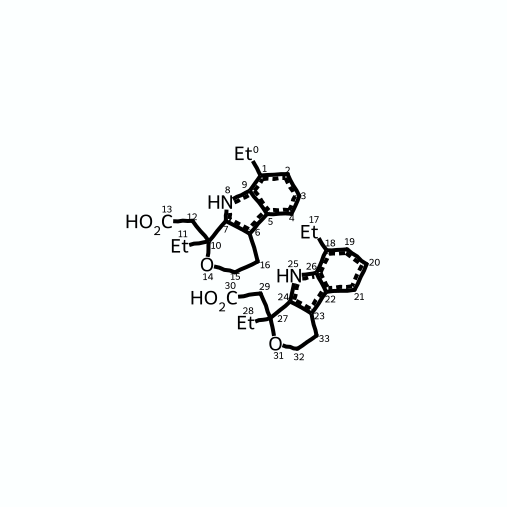 CCc1cccc2c3c([nH]c12)C(CC)(CC(=O)O)OCC3.CCc1cccc2c3c([nH]c12)C(CC)(CC(=O)O)OCC3